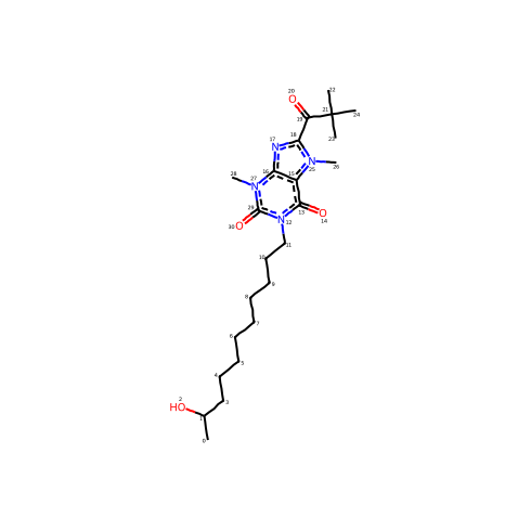 CC(O)CCCCCCCCCn1c(=O)c2c(nc(C(=O)C(C)(C)C)n2C)n(C)c1=O